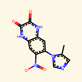 Cc1cncn1-c1cc2[nH]c(=O)c(=O)[nH]c2cc1[N+](=O)[O-]